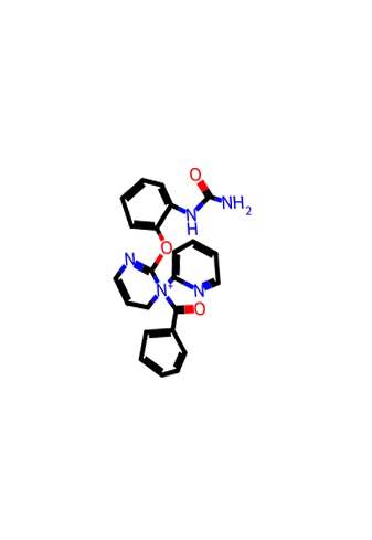 NC(=O)Nc1ccccc1OC1=NC=CC[N+]1(C(=O)c1ccccc1)c1ccccn1